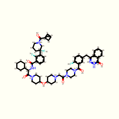 O=C(N[C@@H](C(=O)N1CCC(OC2CCN(CC(=O)N3CCN(C(=O)c4cc(Cc5n[nH]c(=O)c6ccccc56)ccc4F)CC3)CC2)CC1)C1CCCCC1)c1cccc([C@]2(F)CCCN(C(=O)C34CC(C3)C4)C2)c1F